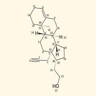 C#CC[C@]12CC[C@H]3[C@@H](CCC4=CCCC[C@@]43C)[C@@H]1CC[C@@H]2CCO